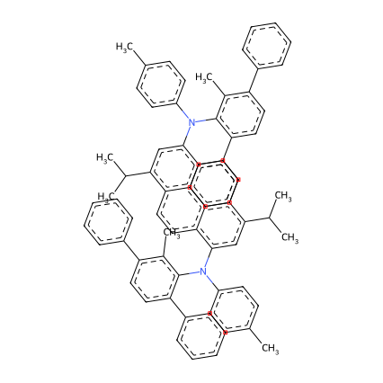 Cc1ccc(N(c2c(-c3ccccc3)ccc(-c3ccccc3)c2C)c2cc(C(C)C)c3ccc4c(N(c5ccc(C)cc5)c5c(-c6ccccc6)ccc(-c6ccccc6)c5C)cc(C(C)C)c5ccc2c3c54)cc1